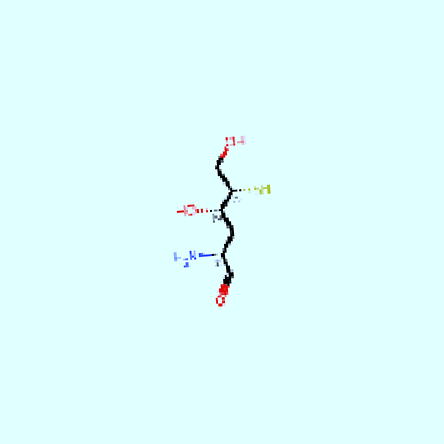 N[C@H](C=O)C[C@H](O)[C@@H](S)CO